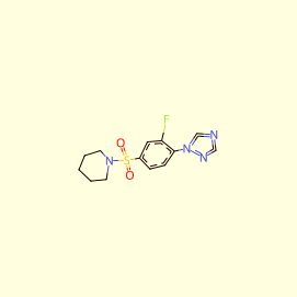 O=S(=O)(c1ccc(-n2cncn2)c(F)c1)N1CCCCC1